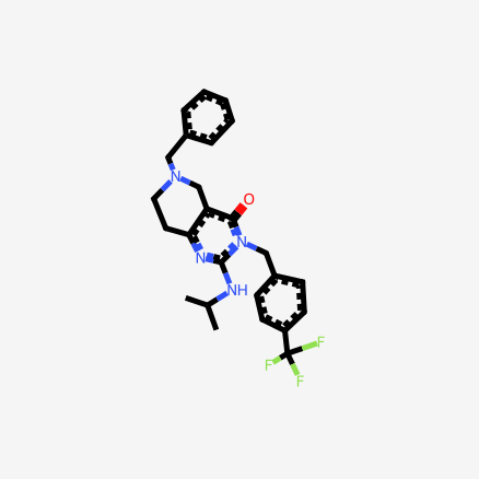 CC(C)Nc1nc2c(c(=O)n1Cc1ccc(C(F)(F)F)cc1)CN(Cc1ccccc1)CC2